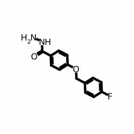 NNC(=O)c1ccc(OCc2ccc(F)cc2)cc1